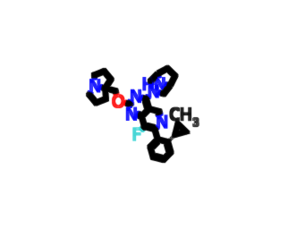 C[C@@H]1C[C@@H]1c1ccccc1-c1ncc2c(N3CC4CCC(C3)N4)nc(OCC34CCCN3CCC4)nc2c1F